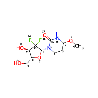 COC1CCN([C@@H]2O[C@H](CO)[C@@H](O)C2(F)F)C(=O)N1